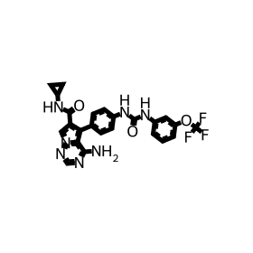 Nc1ncnn2cc(C(=O)NC3CC3)c(-c3ccc(NC(=O)Nc4cccc(OC(F)(F)F)c4)cc3)c12